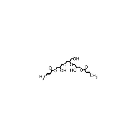 CC=CC(=O)OCC(O)COCC(CO)OCC(O)COC(=O)C=CC